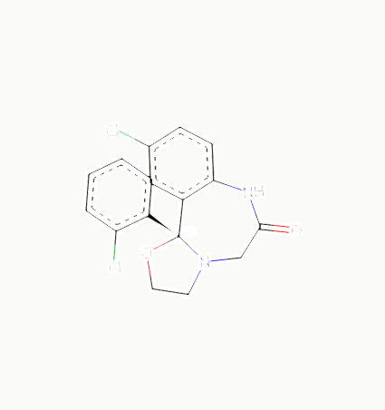 O=C1CN2CCO[C@]2(c2ccccc2Cl)c2cc(Cl)ccc2N1